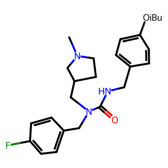 CC(C)COc1ccc(CNC(=O)N(Cc2ccc(F)cc2)CC2CCN(C)C2)cc1